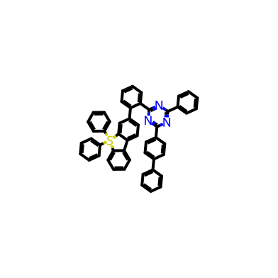 c1ccc(-c2ccc(-c3nc(-c4ccccc4)nc(-c4ccccc4-c4ccc5c(c4)S(c4ccccc4)(c4ccccc4)c4ccccc4-5)n3)cc2)cc1